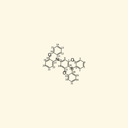 c1ccc2c(c1)Oc1cc(N3c4ccccc4Oc4ccccc43)cc3c1B2c1ccccc1O3